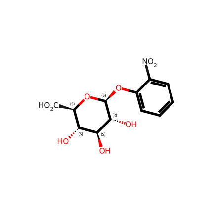 O=C(O)[C@H]1O[C@@H](Oc2ccccc2[N+](=O)[O-])[C@H](O)[C@@H](O)[C@@H]1O